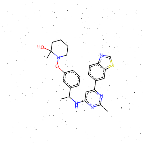 Cc1nc(NC(C)c2cccc(ON3CCCCC3(C)O)c2)cc(-c2ccc3ncsc3c2)n1